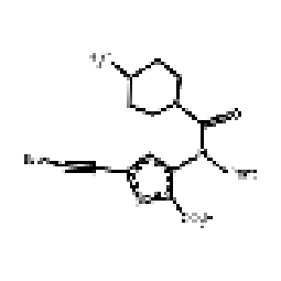 CCCC(C)N(C(=O)C1CCC(C)CC1)c1cc(C#CC(C)(C)C)sc1C(=O)O